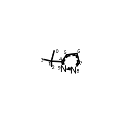 CC(C)(C)c1cccnn1